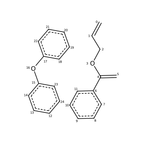 C=CCOC(=C)c1ccccc1.c1ccc(Oc2ccccc2)cc1